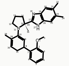 COc1ccccc1C1[C]=C(N2CCC[C@@]2(C)c2nc3cc(C)c(C)cc3[nH]2)C(C)=CC1